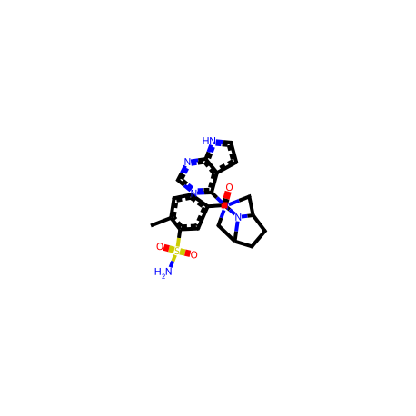 Cc1ccc(C(=O)N2C3CCC2CN(c2ncnc4[nH]ccc24)C3)cc1S(N)(=O)=O